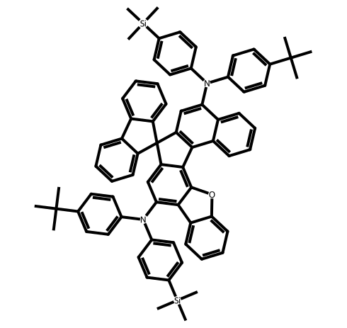 CC(C)(C)c1ccc(N(c2ccc([Si](C)(C)C)cc2)c2cc3c(c4ccccc24)-c2c(cc(N(c4ccc(C(C)(C)C)cc4)c4ccc([Si](C)(C)C)cc4)c4c2oc2ccccc24)C32c3ccccc3-c3ccccc32)cc1